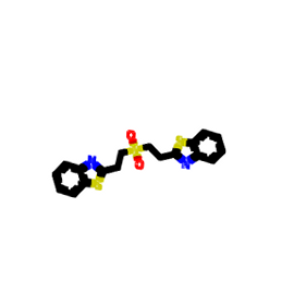 O=S(=O)(CCc1nc2ccccc2s1)CCc1nc2ccccc2s1